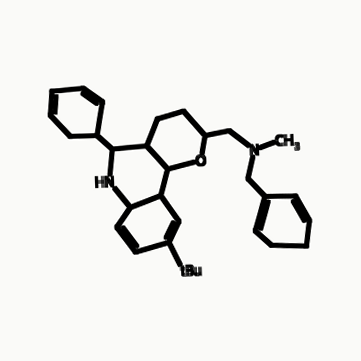 CN(CC1=CCCC=C1)CC1CCC2C(C3C=CC=CC3)NC3C=CC(C(C)(C)C)=CC3C2O1